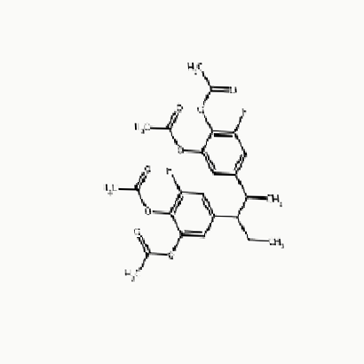 CCC(c1cc(F)c(OC(C)=O)c(OC(C)=O)c1)C(C)c1cc(F)c(OC(C)=O)c(OC(C)=O)c1